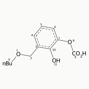 CCCCOCc1cccc(OC(=O)O)c1O